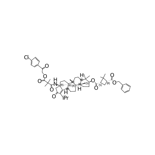 CC(C)C1=C2[C@H]3CC[C@@H]4[C@@]5(C)CC[C@H](OC(=O)[C@H]6C[C@@H](C(=O)OCc7ccccc7)C6(C)C)C(C)(C)[C@@H]5CC[C@@]4(C)[C@]3(C)CC[C@@]2(NC(=O)C(C)(C)C(=O)OCC(=O)c2ccc(Cl)cc2)CC1=O